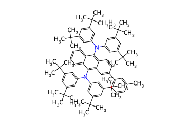 Cc1cccc(-c2ccc3c(N(c4cc(C(C)(C)C)cc(C(C)(C)C)c4)c4cc(C(C)(C)C)cc(C(C)(C)C)c4)c4ccccc4c(N(c4cc(C(C)(C)C)cc(C(C)(C)C)c4)c4cc(C(C)(C)C)cc(C(C)(C)C)c4)c3c2)c1